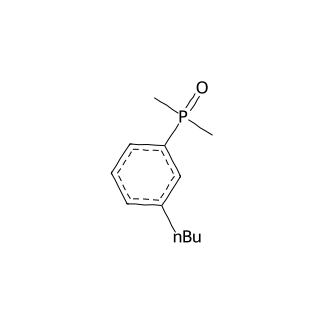 CCCCc1cccc(P(C)(C)=O)c1